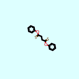 S=C(CCC(=S)Oc1ccccc1)Oc1ccccc1